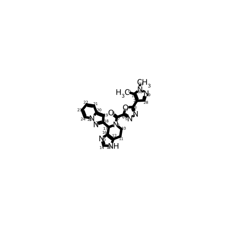 Cc1c(-c2nnc(C(=O)N3CCc4[nH]cnc4C3c3cc4ccccn4n3)o2)cnn1C